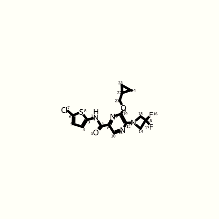 O=C(Nc1ccc(Cl)s1)c1cnc(N2CC(F)(F)C2)c(OCC2CC2)n1